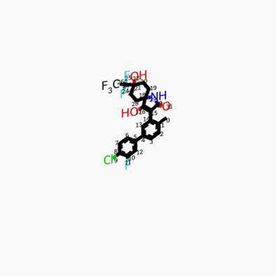 Cc1ccc(-c2ccc(Cl)c(F)c2)cc1C1=C(O)C2(CCC(O)(C(F)(F)C(F)(F)F)CC2)NC1=O